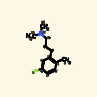 Cc1ccc(F)cc1CCCN(C)C